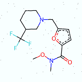 CON(C)C(=O)c1ccc(CN2CCCC(C(F)(F)F)C2)o1